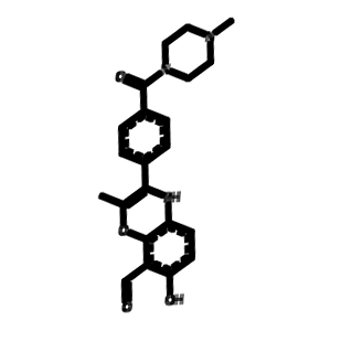 CC1=C(c2ccc(C(=O)N3CCN(C)CC3)cc2)Bc2ccc(O)c(C=O)c2O1